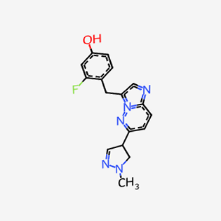 CN1CC(c2ccc3ncc(Cc4ccc(O)cc4F)n3n2)C=N1